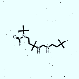 CC(C)(C)CCNCNC(C)(C)CCN(C(=O)F)C(C)(C)C